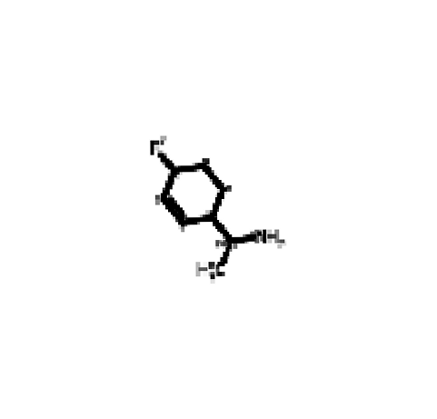 C[C@H](N)C1C=CC(F)CC1